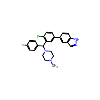 CN1CCN(C(c2ccc(F)cc2)c2cc(-c3ccc4[nH]ncc4c3)ccc2F)CC1